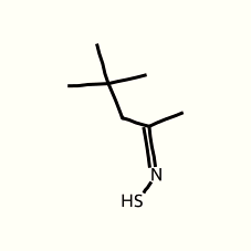 C/C(CC(C)(C)C)=N/S